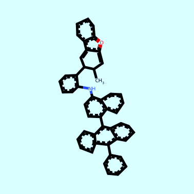 CC1C=c2oc3ccccc3c2=CC1c1ccccc1Nc1ccc(-c2c3ccccc3c(-c3ccccc3)c3ccccc23)c2ccccc12